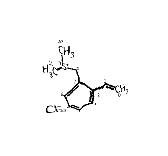 C=Cc1ccccc1C[S+](C)C.[Cl-]